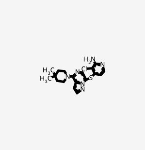 CC1(C)CCN(c2ncc(Sc3ccnc(N)c3Cl)n3nccc23)CC1